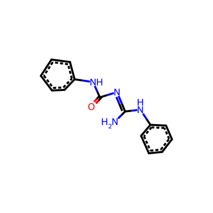 N/C(=N\C(=O)Nc1ccccc1)Nc1ccccc1